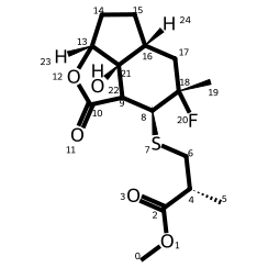 COC(=O)[C@@H](C)CS[C@H]1C2C(=O)O[C@@H]3CC[C@H](C[C@]1(C)F)[C@]23O